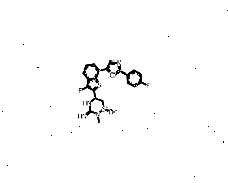 CN1C(=N)NC(c2sc3c(-c4cnc(-c5ccc(F)cc5)o4)cccc3c2F)C[S+]1[O-]